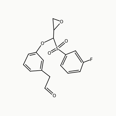 O=CCc1cccc(OC(C2CO2)S(=O)(=O)c2cccc(F)c2)c1